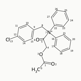 CC(=O)OCC(=O)[N+](Cc1ccc(Cl)cc1)(c1ccccc1)c1ccccc1